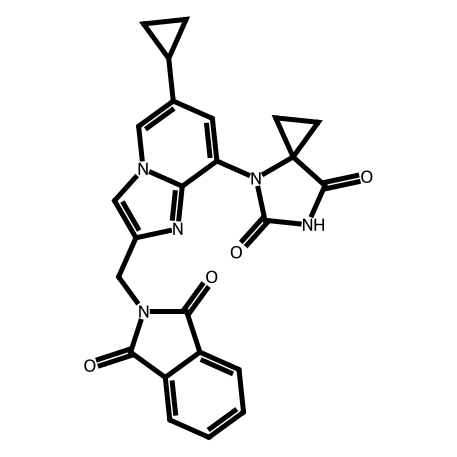 O=C1c2ccccc2C(=O)N1Cc1cn2cc(C3CC3)cc(N3C(=O)NC(=O)C34CC4)c2n1